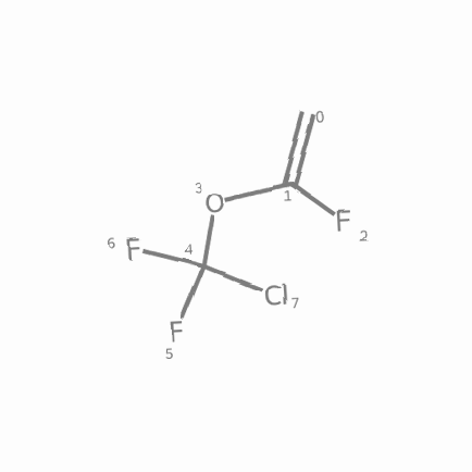 C=C(F)OC(F)(F)Cl